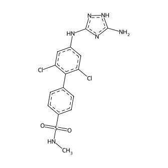 CNS(=O)(=O)c1ccc(-c2c(Cl)cc(Nc3n[nH]c(N)n3)cc2Cl)cc1